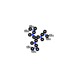 CC(C)(C)c1cc(-n2c3ccccc3c3ccc(N(c4ccccc4)c4ccc5c(c4)c4ccc(N(c6ccccc6)c6ccc7c8ccccc8n(-c8cc(C(C)(C)C)cc(C(C)(C)C)c8)c7c6)cc4c4ccc(N(c6ccccc6)c6ccc7c8ccccc8n(-c8cc(C(C)(C)C)cc(C(C)(C)C)c8)c7c6)cc54)cc32)cc(C(C)(C)C)c1